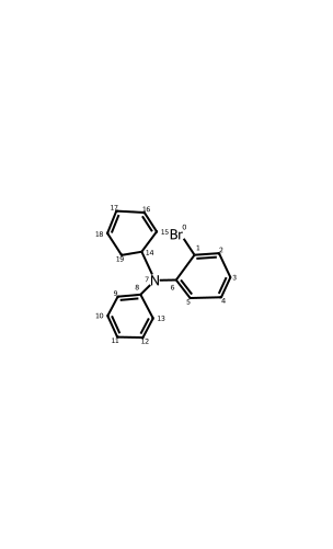 Brc1ccccc1N(c1ccccc1)C1C=CC=CC1